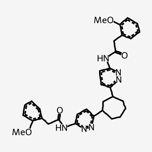 COc1ccccc1CC(=O)Nc1ccc(C2CCCCC(c3ccc(NC(=O)Cc4ccccc4OC)nn3)C2)nn1